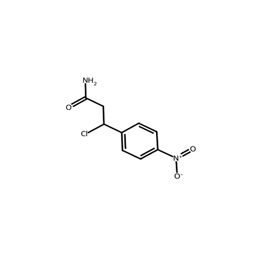 NC(=O)CC(Cl)c1ccc([N+](=O)[O-])cc1